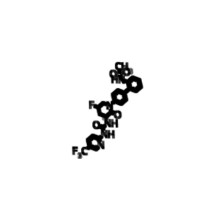 CS(=O)(=O)Nc1ccccc1-c1ccc(N2CC(F)C[C@@H](NC(=O)Nc3ccc(C(F)(F)F)cn3)C2=O)cc1